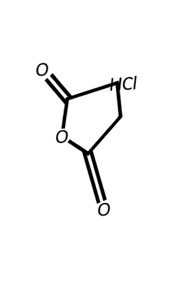 Cl.O=C1CCC(=O)O1